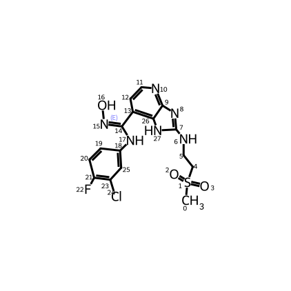 CS(=O)(=O)CCNc1nc2nccc(/C(=N\O)Nc3ccc(F)c(Cl)c3)c2[nH]1